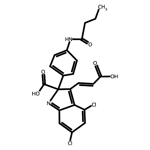 CCCC(=O)Nc1ccc(C2(C(=O)O)N=c3cc(Cl)cc(Cl)c3=C2C=CC(=O)O)cc1